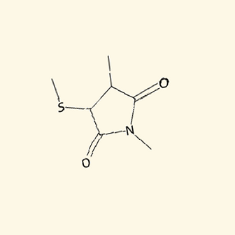 CSC1C(=O)N(C)C(=O)C1C